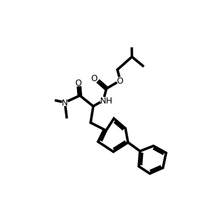 CC(C)COC(=O)NC(Cc1ccc(-c2ccccc2)cc1)C(=O)N(C)C